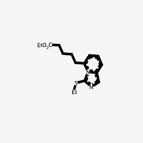 CCOC(=O)CCCCc1cccc2cnc(SCC)n12